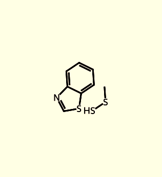 CSS.c1ccc2scnc2c1